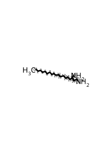 CCCCCCCCCCCCCCCCCC(N)=CCN